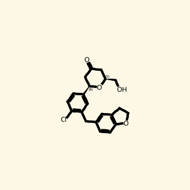 O=C1C[C@@H](CO)O[C@@H](c2ccc(Cl)c(Cc3ccc4c(c3)CCO4)c2)C1